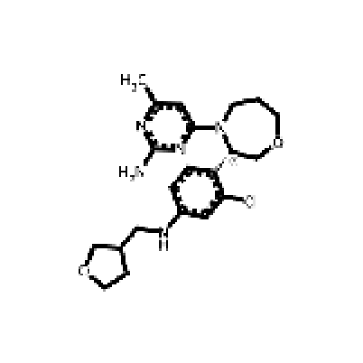 Cc1cc(N2CCCOC[C@@H]2c2ccc(NCC3CCOC3)cc2Cl)nc(N)n1